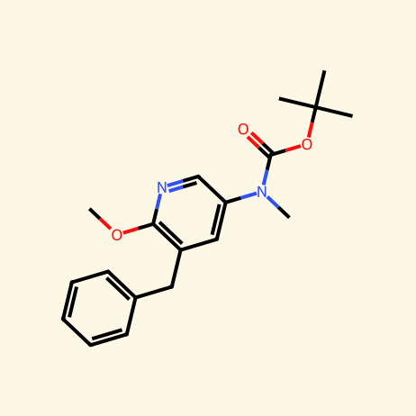 COc1ncc(N(C)C(=O)OC(C)(C)C)cc1Cc1ccccc1